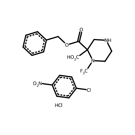 Cl.O=C(O)C1(C(=O)OCc2ccccc2)CNCCN1C(F)(F)F.O=[N+]([O-])c1ccc(Cl)cc1